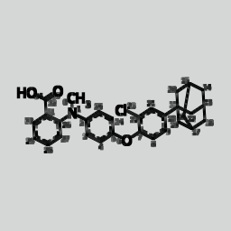 CN(c1ccc(Oc2ccc(C34CC5CC(CC(C5)C3)C4)cc2Cl)cc1)c1ccccc1C(=O)O